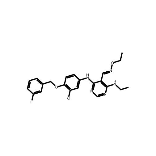 CCNc1ncnc(Nc2ccc(OCc3cccc(F)c3)c(Cl)c2)c1C=NOCC